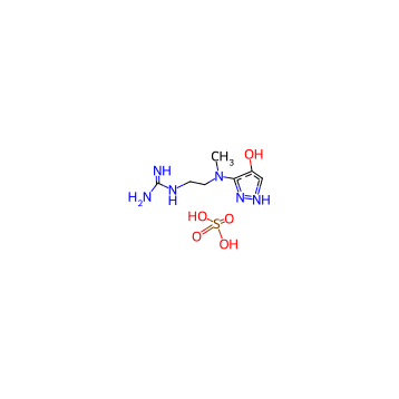 CN(CCNC(=N)N)c1n[nH]cc1O.O=S(=O)(O)O